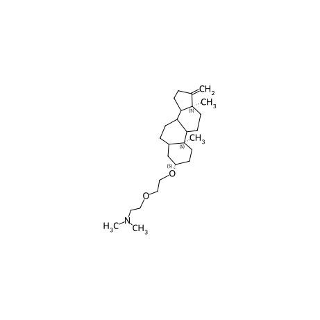 C=C1CCC2C3CCC4C[C@@H](OCCOCCN(C)C)CC[C@]4(C)C3CC[C@]12C